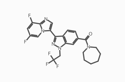 O=C(c1ccc2c(-c3cnc4c(F)cc(F)cn34)nn(CC(F)(F)F)c2c1)N1CCCCCC1